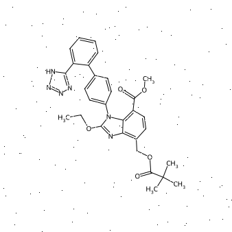 CCOc1nc2c(COC(=O)C(C)(C)C)ccc(C(=O)OC)c2n1-c1ccc(-c2ccccc2-c2nnn[nH]2)cc1